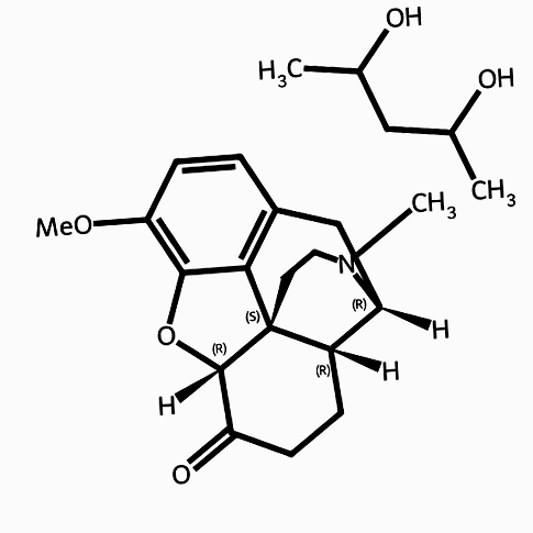 CC(O)CC(C)O.COc1ccc2c3c1O[C@H]1C(=O)CC[C@H]4[C@@H](C2)N(C)CC[C@]314